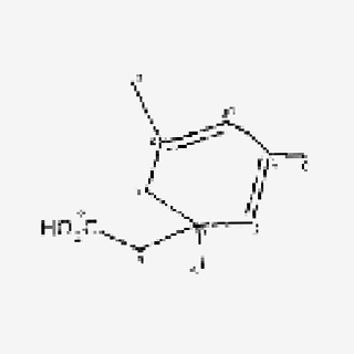 CC1=CC(C)(CC(=O)O)CC(C)=C1